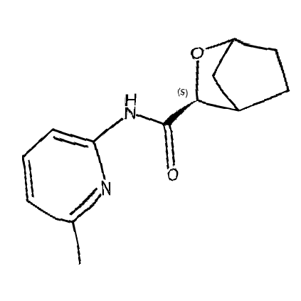 Cc1cccc(NC(=O)[C@H]2OC3CCC2C3)n1